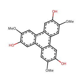 COc1cc2c(cc1O)c1cc(OC)c(O)cc1c1cc(OC)c(O)cc21